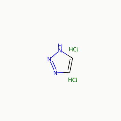 Cl.Cl.c1c[nH]nn1